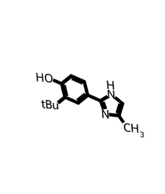 Cc1c[nH]c(-c2ccc(O)c(C(C)(C)C)c2)n1